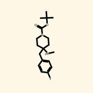 CNC1(Cc2ccc(F)cc2)CCN(C(=O)OC(C)(C)C)CC1